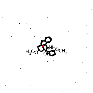 COc1cccc(C(O)(c2cccc(OC)c2)[C@H](N)c2cccc3ccccc23)c1